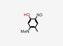 CNc1cc(O)c(N=O)cc1C